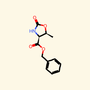 C[C@@H]1OC(=O)N[C@@H]1C(=O)OCc1ccccc1